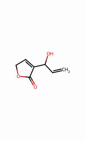 C=CC(O)C1=CCOC1=O